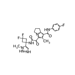 Cc1c(C(=O)Nc2ccc(F)cc2)c2n(c1C(=O)C(=O)NC1(C3=CNNN3C)CC(F)(F)C1)CCC2